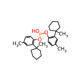 Cc1ccc(OP(O)Oc2ccc(C)cc2C2(C)CCCCC2)c(C2(C)CCCCC2)c1